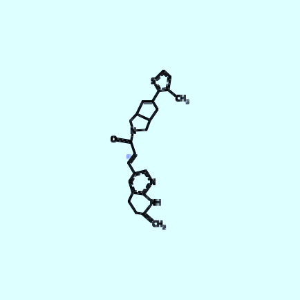 C=C1CCc2cc(/C=C/C(=O)N3CC4C=C(c5sccc5C)CC4C3)cnc2N1